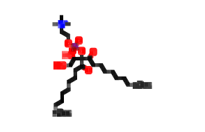 CCCCCCCCCCCCCCCCCC(=O)C(OP(=O)([O-])OCC[N+](C)(C)C)(C(=O)CCCCCCCCCCCCCCCCC)[C@@H](O)CO